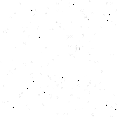 c1ccc(CN2CCc3n[nH]c4nc(NCc5ccc(-c6ccccc6)cc5)nc2c34)cc1